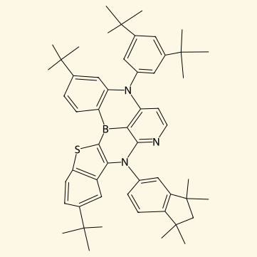 CC(C)(C)c1cc(N2c3cc(C(C)(C)C)ccc3B3c4sc5ccc(C(C)(C)C)cc5c4N(c4ccc5c(c4)C(C)(C)CC5(C)C)c4nccc2c43)cc(C(C)(C)C)c1